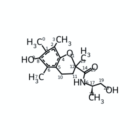 Cc1c(C)c2c(c(C)c1O)CCC(C)(C(=O)N[C@H](C)CO)O2